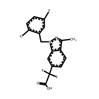 Cc1nn(Cc2cc(F)ccc2Cl)c2cc(C(F)(F)C(=O)O)ccc12